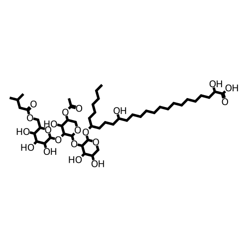 CCCCCCC(CCCC(O)CCCCCCCCCCCCCC(O)C(=O)O)OC1OCC(O)C(O)C1OC1OCC(OC(C)=O)C(O)C1OC1OC(COC(=O)CC(C)C)C(O)C(O)C1O